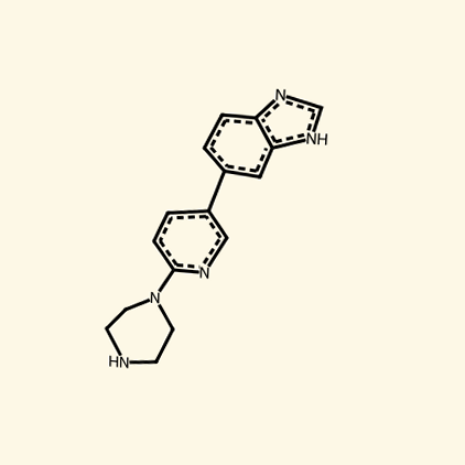 c1nc2ccc(-c3ccc(N4CCNCC4)nc3)cc2[nH]1